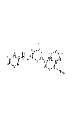 C[C@@H]1CN(c2ccc(C#N)c3ncccc23)C[C@H](CNc2ncccn2)O1